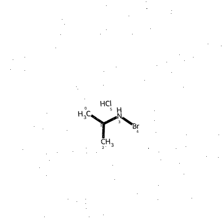 CC(C)NBr.Cl